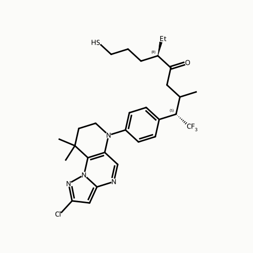 CC[C@H](CCCS)C(=O)CC(C)[C@@H](c1ccc(N2CCC(C)(C)c3c2cnc2cc(Cl)nn32)cc1)C(F)(F)F